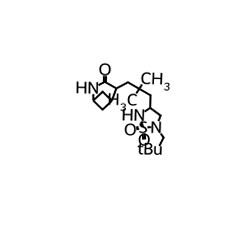 CC(C)(C)CN1CC(CC(C)(C)CC2C(=O)NC3CC2C3)NS1(=O)=O